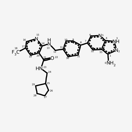 Nc1n[nH]c2ncc(-c3ccc(CNc4ncc(C(F)(F)F)cc4C(=O)NCC4CCCC4)cc3)cc12